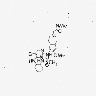 CNC(=O)CN1CCc2cc(Nc3ncc(Cl)c(N[C@@H]4CCCC[C@H]4NS(C)(=O)=O)n3)c(OC)cc2CC1